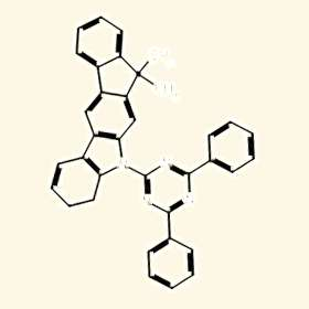 CC1(C)c2ccccc2-c2cc3c4c(n(-c5nc(-c6ccccc6)nc(-c6ccccc6)n5)c3cc21)CCC=C4